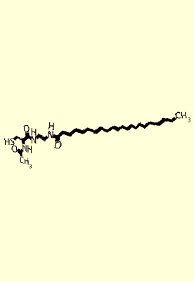 CCC=CCC=CCC=CCC=CCC=CCC=CCCC(=O)NCCNC(=O)[C@H](CS)NC(C)=O